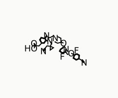 N#CCC1(Cn2c(CN3CCC(Oc4ccc(F)c(COc5ccc(C#N)cc5F)n4)CC3)nc3ccc(CC(=O)O)cc32)CC1